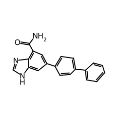 NC(=O)c1cc(-c2ccc(-c3ccccc3)cc2)cc2[nH]cnc12